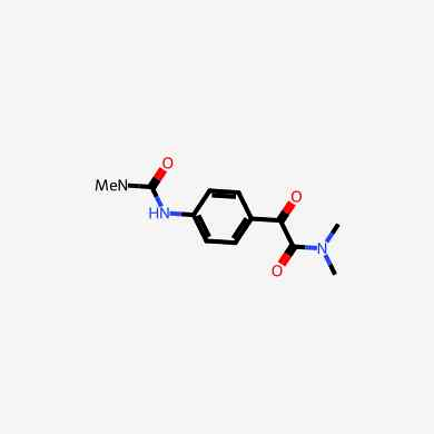 CNC(=O)Nc1ccc(C(=O)C(=O)N(C)C)cc1